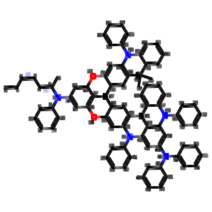 C=C/C=C\C=C(/C)N(c1ccccc1)c1cc2c3c(c1)Oc1cc4c(cc1B3c1cc3c(cc1O2)N(c1ccccc1)c1cc(N(c2ccccc2)c2ccccc2)cc2c1B3c1ccccc1N2c1ccccc1)[Si](C)(C)c1ccccc1N4c1ccccc1